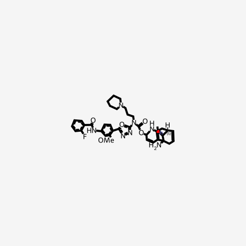 C/C=C1\[C@@H]2C=CCC1(N)C1=C(C2)NC(OC(=O)N(CCCN2CCCCC2)c2nnc(-c3ccc(NC(=O)c4ccccc4F)cc3OC)o2)C=C1